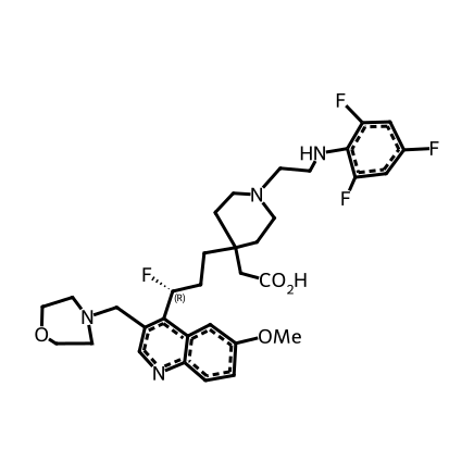 COc1ccc2ncc(CN3CCOCC3)c([C@H](F)CCC3(CC(=O)O)CCN(CCNc4c(F)cc(F)cc4F)CC3)c2c1